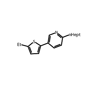 CCCCCCCc1ccc(-c2ccc(CC)s2)cn1